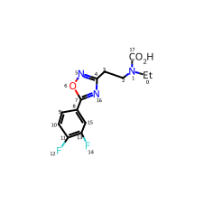 CCN(CCc1noc(-c2ccc(F)c(F)c2)n1)C(=O)O